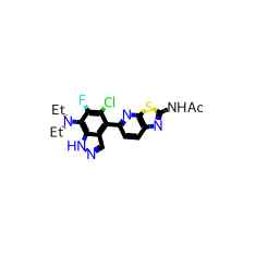 CCN(CC)c1c(F)c(Cl)c(-c2ccc3nc(NC(C)=O)sc3n2)c2cn[nH]c12